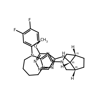 COc1cc(N2C[C@H]3CC[C@@H](C2)[C@H]3Nc2nc3n(n2)CCCCN3c2ccc(F)c(F)c2)cnn1